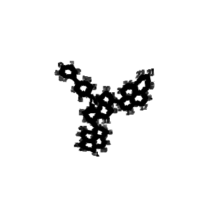 c1ccc(-c2ccc(-n3c4ccc(-c5ccc6ccc7cccc8ccc5c6c78)c5ccc6c(-c7ccc8ccc9cccc%10ccc7c8c9%10)ccc3c6c54)cc2)cc1